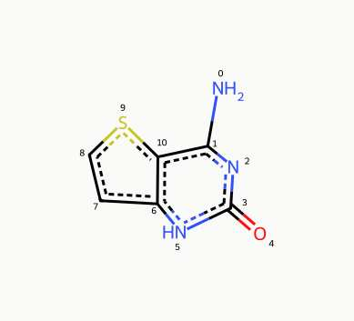 Nc1nc(=O)[nH]c2ccsc12